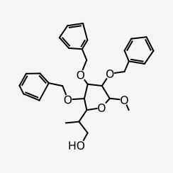 COC1OC(C(C)CO)C(OCc2ccccc2)C(OCc2ccccc2)C1OCc1ccccc1